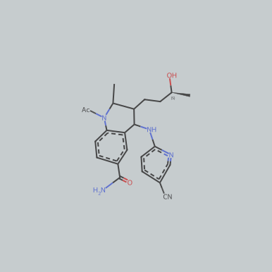 CC(=O)N1c2ccc(C(N)=O)cc2C(Nc2ccc(C#N)cn2)C(CC[C@H](C)O)C1C